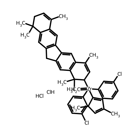 Cl.Cl.[CH2]=[Zr]([C]1=CC(C)=CC1C)([c]1cccc(Cl)c1)([c]1cccc(Cl)c1)[CH]1C=C(C)c2cc3c(cc2C1(C)C)Cc1cc2c(cc1-3)C(C)=CCC2(C)C